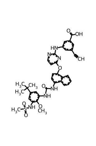 C#Cc1cc(Nc2nccc(Oc3ccc(NC(=O)Nc4cc(C(C)(C)C)cc(NS(C)(=O)=O)c4OC)c4ccccc34)n2)cc(C(=O)O)c1